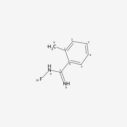 [CH2]c1ccccc1C(=N)NF